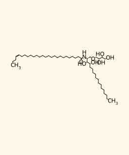 CCC/C=C\CCCCCCCCCCCCCCCCCCCCC(=O)N[C@@H](COC[C@@H](O)C(O)CO)[C@H](O)[C@H](O)CCCCCCCCCCCCCC